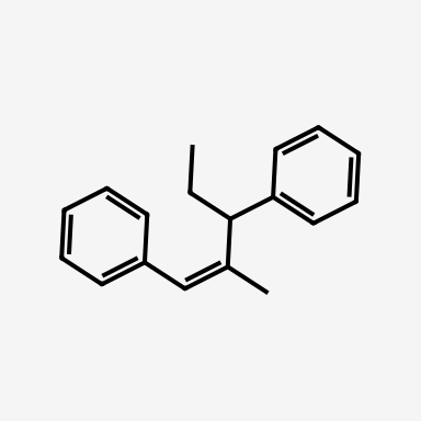 CCC(C(C)=Cc1ccccc1)c1ccccc1